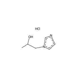 CC(O)Cn1ccnc1.Cl